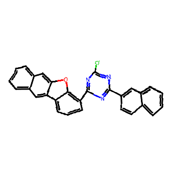 Clc1nc(-c2ccc3ccccc3c2)nc(-c2cccc3c2oc2cc4ccccc4cc23)n1